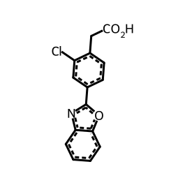 O=C(O)Cc1ccc(-c2nc3ccccc3o2)cc1Cl